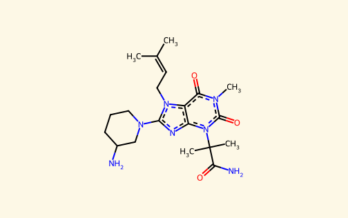 CC(C)=CCn1c(N2CCCC(N)C2)nc2c1c(=O)n(C)c(=O)n2C(C)(C)C(N)=O